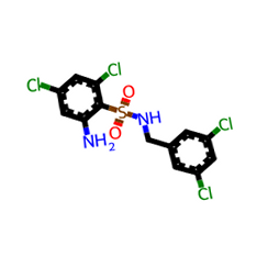 Nc1cc(Cl)cc(Cl)c1S(=O)(=O)NCc1cc(Cl)cc(Cl)c1